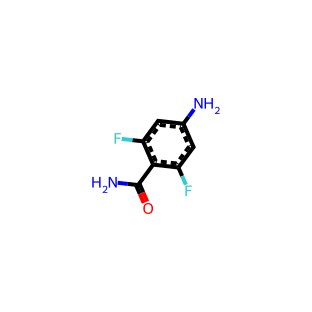 NC(=O)c1c(F)cc(N)cc1F